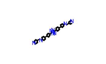 C(=N\c1ccc(-c2ccc(-c3nnc(-c4ccc(-c5ccc(/N=C/c6ccncc6)cc5)cc4)nn3)cc2)cc1)/c1ccncc1